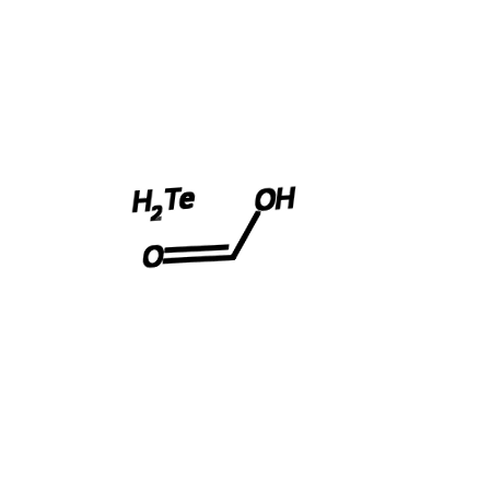 O=CO.[TeH2]